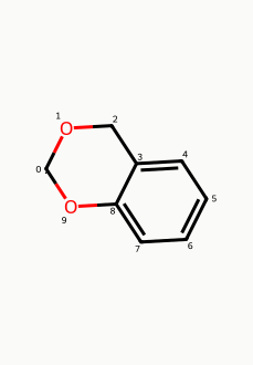 [CH]1OCc2ccccc2O1